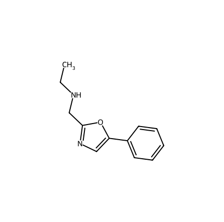 CCNCc1ncc(-c2ccccc2)o1